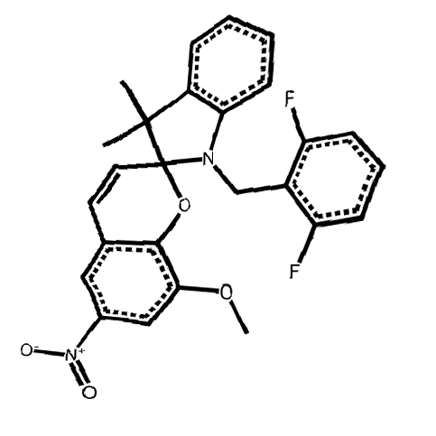 COc1cc([N+](=O)[O-])cc2c1OC1(C=C2)N(Cc2c(F)cccc2F)c2ccccc2C1(C)C